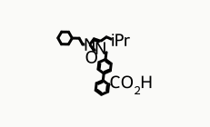 CC(C)Cc1cn(CCC2CCCCC2)c(=O)n1Cc1ccc(-c2ccccc2C(=O)O)cc1